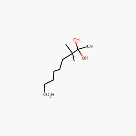 CC(C)(CCCCCC(=O)O)C(O)(O)C#N